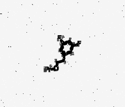 [CH2]C(C)OCCc1cc(F)cc(F)c1